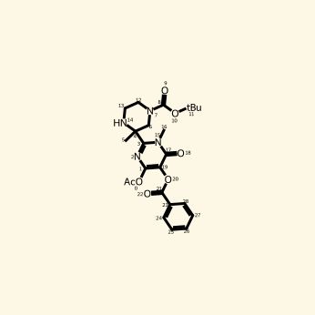 CC(=O)Oc1nc(C2(C)CN(C(=O)OC(C)(C)C)CCN2)n(C)c(=O)c1OC(=O)c1ccccc1